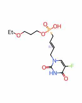 CCOCCCOP(=O)(O)C/C=C/Cn1cc(F)c(=O)[nH]c1=O